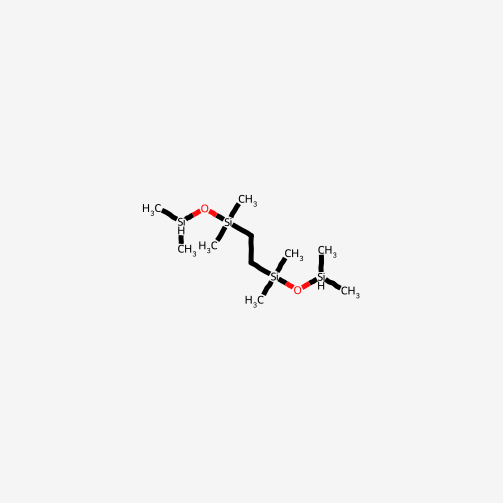 C[SiH](C)O[Si](C)(C)CC[Si](C)(C)O[SiH](C)C